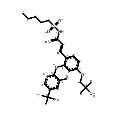 CCCCCS(=O)(=O)NC(=O)/C=C/c1ccc(OCC(C)(C)O)cc1Oc1ncc(C(F)(F)F)cc1Cl